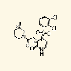 C[C@@H]1CCCN(C(=O)C[C@@H]2C(=O)NC=CN2S(=O)(=O)c2cccc(Cl)c2Cl)C1